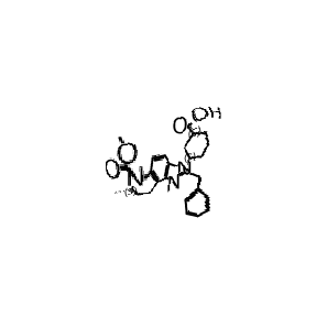 COC(=O)N1c2ccc3c(nc(Cc4ccccc4)n3[C@H]3CCC[C@H](C(=O)O)C3)c2CC[C@@H]1C